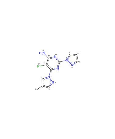 Cc1cnn(-c2nc(-n3cccn3)nc(N)c2Br)c1